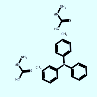 C.C.NNC(O)=S.NNC(O)=S.c1ccc(P(c2ccccc2)c2ccccc2)cc1